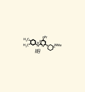 CCCc1cc(N2CCC[C@@H](NC)C2)nc(Nc2ccc(C)c(C)c2)n1.Cl.Cl